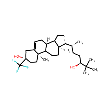 C[C@H](CC[C@H](O)C(C)(C)C)[C@H]1CCC2[C@@H]3CC=C4C[C@](O)(C(F)(F)F)CC[C@]4(C)C3CC[C@@]21C